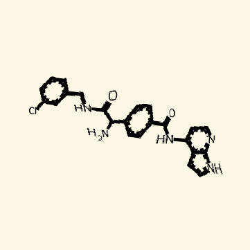 NC(C(=O)NCc1cccc(Cl)c1)c1ccc(C(=O)Nc2ccnc3[nH]ccc23)cc1